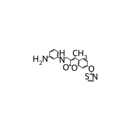 Cc1c(CNc2cccc(N)c2)c(=O)oc2cc(Oc3nccs3)ccc12